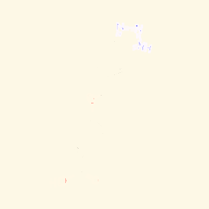 O=C(O)c1ccc(OCc2ccc3nn[nH]c3c2)cc1